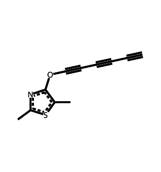 C#CC#CC#COc1nc(C)sc1C